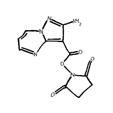 Nc1nn2cccnc2c1C(=O)ON1C(=O)CCC1=O